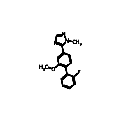 COc1cc(-c2ncnn2C)ccc1-c1ccccc1F